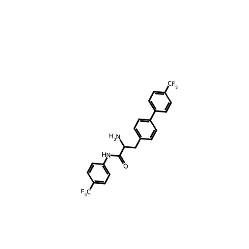 NC(Cc1ccc(-c2ccc(C(F)(F)F)cc2)cc1)C(=O)Nc1ccc(C(F)(F)F)cc1